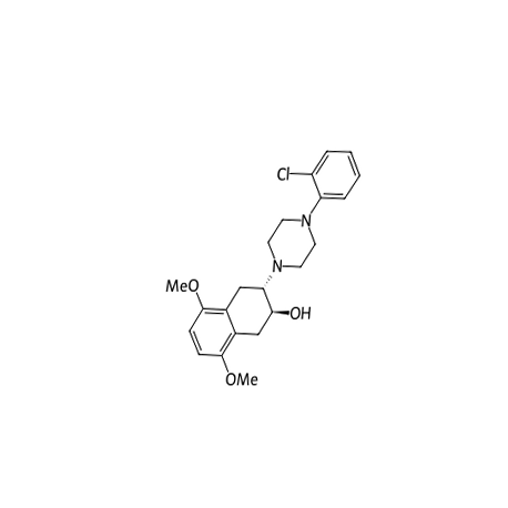 COc1ccc(OC)c2c1C[C@H](O)[C@@H](N1CCN(c3ccccc3Cl)CC1)C2